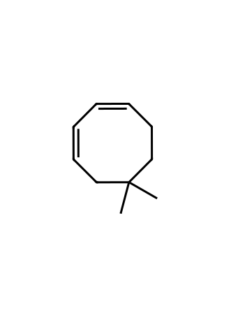 CC1(C)CC=CC=CCC1